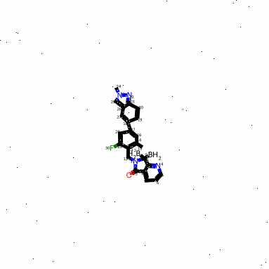 BC1(B)c2ncccc2C(=O)N1Cc1c(C)cc(-c2ccc3nn(C)cc3c2)cc1F